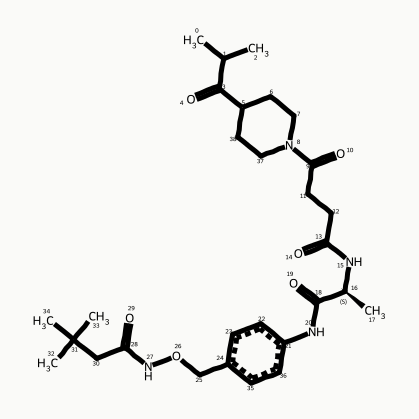 CC(C)C(=O)C1CCN(C(=O)CCC(=O)N[C@@H](C)C(=O)Nc2ccc(CONC(=O)CC(C)(C)C)cc2)CC1